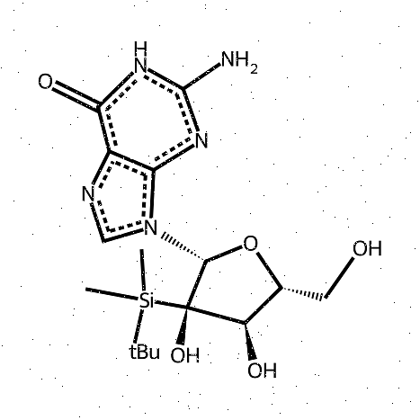 CC(C)(C)[Si](C)(C)[C@@]1(O)[C@H](O)[C@@H](CO)O[C@H]1n1cnc2c(=O)[nH]c(N)nc21